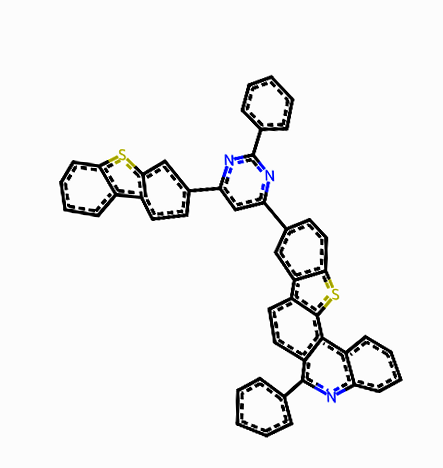 c1ccc(-c2nc(-c3ccc4c(c3)sc3ccccc34)cc(-c3ccc4sc5c(ccc6c(-c7ccccc7)nc7ccccc7c65)c4c3)n2)cc1